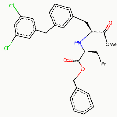 COC(=O)[C@H](Cc1cccc(Cc2cc(Cl)cc(Cl)c2)c1)N[C@@H](CC(C)C)C(=O)OCc1ccccc1